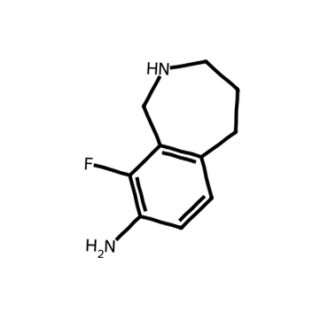 Nc1ccc2c(c1F)CNCCC2